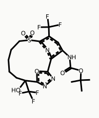 CC(C)(C)OC(=O)Nc1cc(C(F)(F)F)c2nc1-c1nnc(o1)C(O)(C(F)(F)F)CCCCCS2(=O)=O